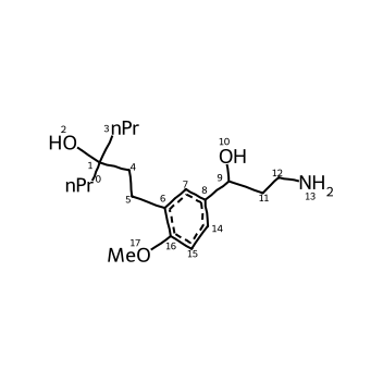 CCCC(O)(CCC)CCc1cc(C(O)CCN)ccc1OC